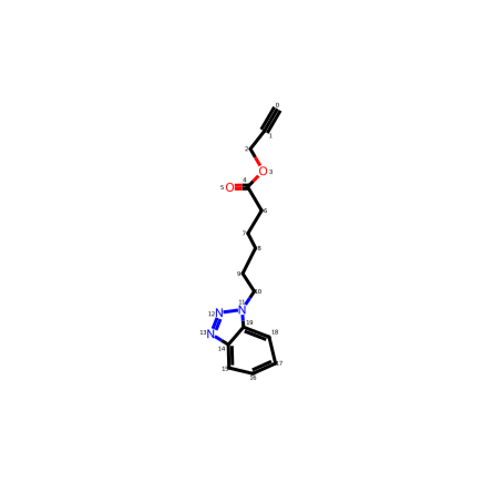 C#CCOC(=O)CCCCCn1nnc2ccccc21